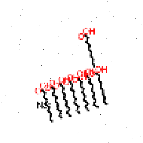 CCCCCCCCCC(=O)O.CCCCCCCCCC(=O)O.CCCCCCCCCC(=O)O.CCCCCCCCCC(=O)O.CCCCCCCCCC(=O)O.CCCCCCCCCC(=O)O.CCCCCCCCCC(=O)O.CCCCCCCCCC(=O)O.[Na+]